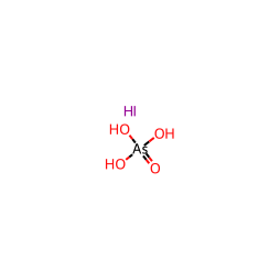 I.O=[As](O)(O)O